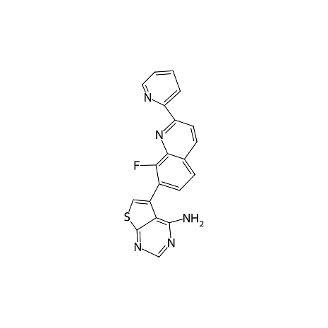 Nc1ncnc2scc(-c3ccc4ccc(-c5ccccn5)nc4c3F)c12